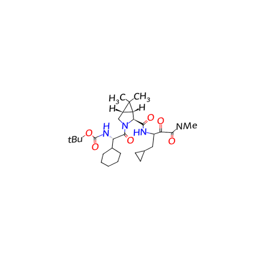 CNC(=O)C(=O)C(CC1CC1)NC(=O)[C@@H]1[C@@H]2[C@H](CN1C(=O)[C@@H](NC(=O)OC(C)(C)C)C1CCCCC1)C2(C)C